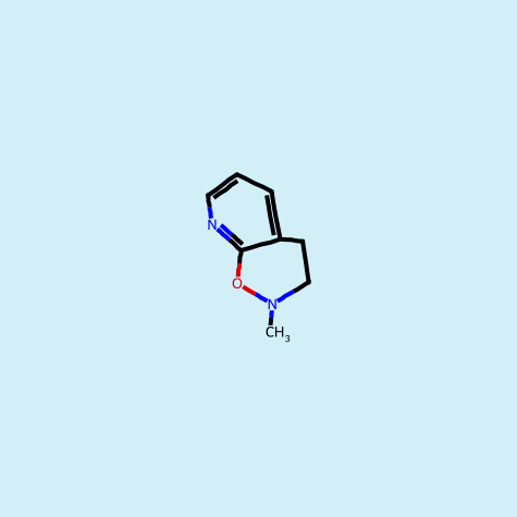 CN1CCc2cccnc2O1